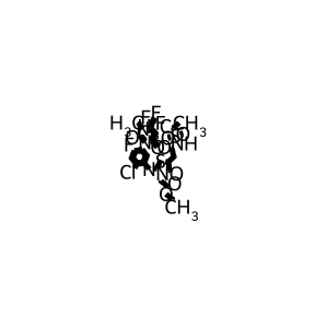 CCOC(=O)CN1C(=O)C(CC(=O)NS(=O)(=O)C(C)C)S/C1=N\c1cc(-n2c(=O)cc(C(F)(F)F)n(C)c2=O)c(F)cc1Cl